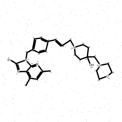 CCc1nc2c(C)cc(C)nc2n1Cc1ccc(C=CCN2CCC(O)(CN3CCOCC3)CC2)cc1